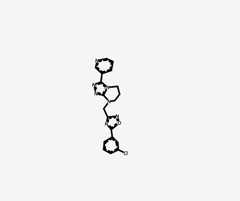 Clc1cccc(-c2nc(CN3CCCn4c(-c5cccnc5)nnc43)no2)c1